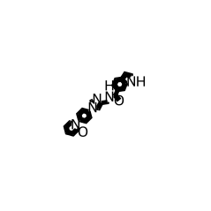 O=C(NCc1cn(-c2ccc(-n3ccccc3=O)cc2)cn1)c1ccc2cc[nH]c2c1